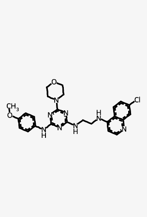 COc1ccc(Nc2nc(NCCNc3ccnc4cc(Cl)ccc34)nc(N3CCOCC3)n2)cc1